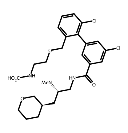 CN[C@H](CNC(=O)c1cc(Cl)cc(-c2c(Cl)cccc2COCCNC(=O)O)c1)C[C@H]1CCCOC1